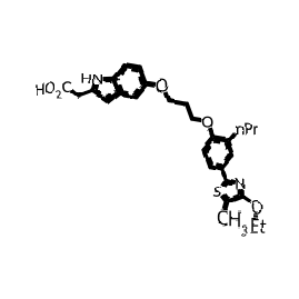 CCCc1cc(-c2nc(OCC)c(C)s2)ccc1OCCCOc1ccc2[nH]c(CC(=O)O)cc2c1